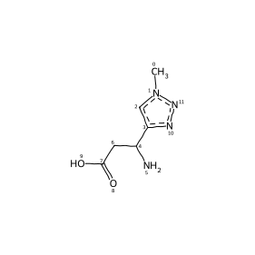 Cn1cc(C(N)CC(=O)O)nn1